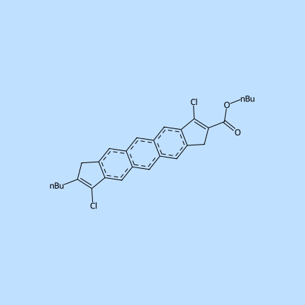 CCCCOC(=O)C1=C(Cl)c2cc3cc4cc5c(cc4cc3cc2C1)C(Cl)=C(CCCC)C5